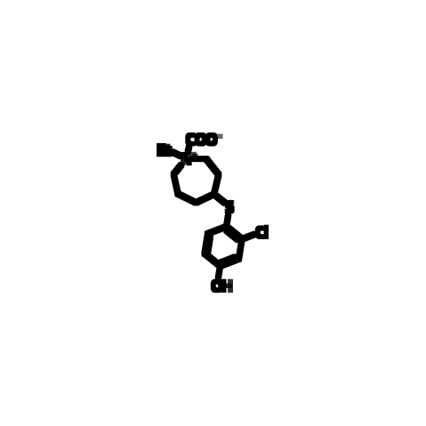 CC[N+]1(C(=O)[O-])CCCC(Sc2ccc(O)cc2Cl)CC1